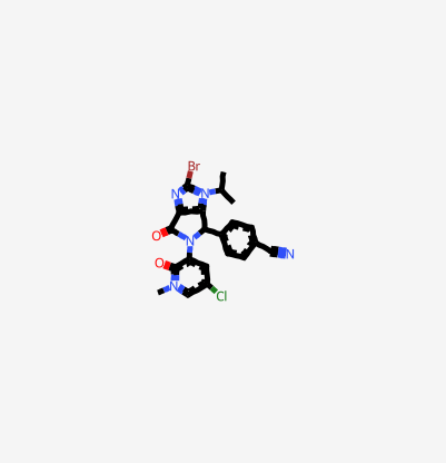 CC(C)n1c(Br)nc2c1C(c1ccc(C#N)cc1)N(c1cc(Cl)cn(C)c1=O)C2=O